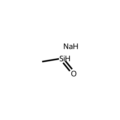 C[SiH]=O.[NaH]